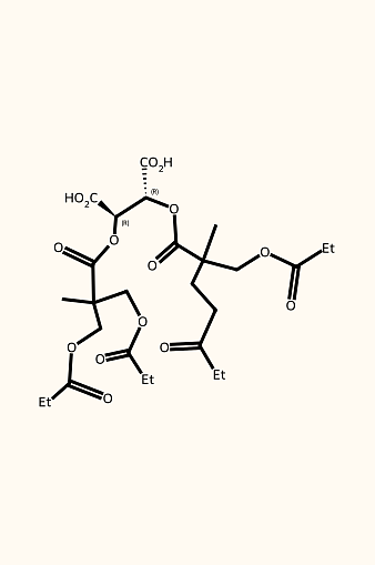 CCC(=O)CCC(C)(COC(=O)CC)C(=O)O[C@@H](C(=O)O)[C@@H](OC(=O)C(C)(COC(=O)CC)COC(=O)CC)C(=O)O